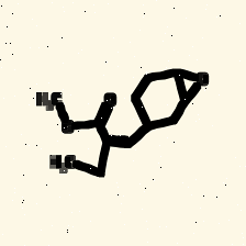 CCC(=CC1CCC2OC2C1)C(=O)OC